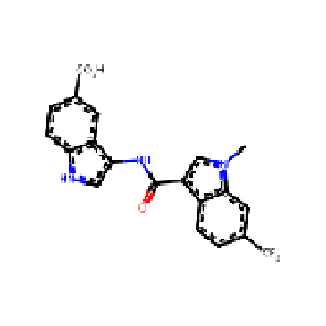 Cn1cc(C(=O)Nc2c[nH]c3ccc(C(=O)O)cc23)c2ccc(C(F)(F)F)cc21